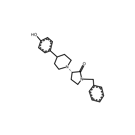 O=C1[C@@H](N2CCC(c3ccc(O)cc3)CC2)CCN1Cc1ccccc1